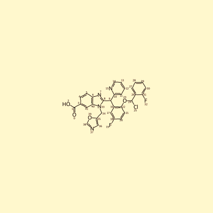 O=C(O)c1ccc2nc(C(c3ccccn3)c3cc(F)ccc3OC(Cl)c3ccccc3F)n(Cc3cnco3)c2c1